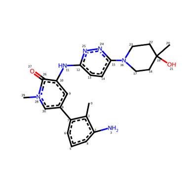 Cc1c(N)cccc1-c1cc(Nc2ccc(N3CCC(C)(O)CC3)nn2)c(=O)n(C)c1